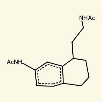 CC(=O)NCCC1CCCc2ccc(NC(C)=O)cc21